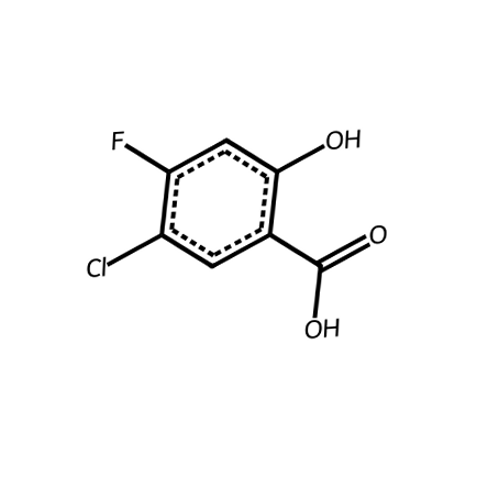 O=C(O)c1cc(Cl)c(F)cc1O